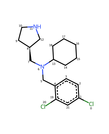 Clc1ccc(CN(C[C@H]2CCNC2)C2CCCCC2)c(Cl)c1